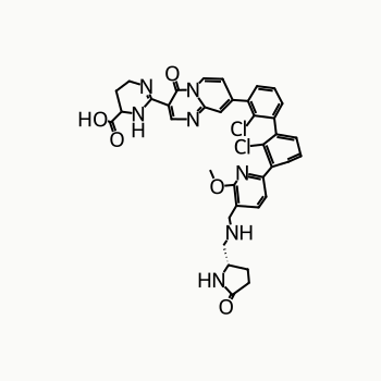 COc1nc(-c2cccc(-c3cccc(-c4ccn5c(=O)c(C6=NCCC(C(=O)O)N6)cnc5c4)c3Cl)c2Cl)ccc1CNC[C@@H]1CCC(=O)N1